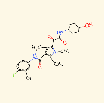 Cc1c(C(=O)Nc2ccc(F)c(C#N)c2)c(C)n(C)c1C(=O)C(=O)NC1CCC(O)CC1